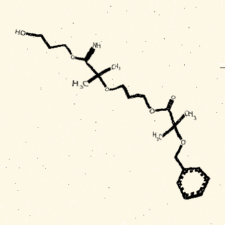 CC(C)(OCCCOC(=O)C(C)(C)OCc1ccccc1)C(=N)OCCCO